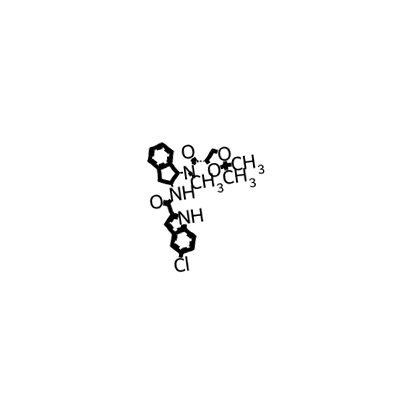 CN(C(=O)[C@@H]1COC(C)(C)O1)[C@H]1c2ccccc2C[C@H]1NC(=O)c1cc2cc(Cl)ccc2[nH]1